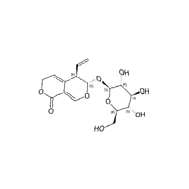 C=C[C@@H]1C2=CCOC(=O)C2=CO[C@H]1O[C@@H]1O[C@H](CO)[C@@H](O)[C@H](O)[C@H]1O